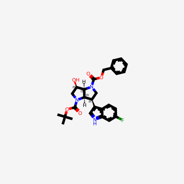 CC(C)(C)OC(=O)N1C[C@@H](O)[C@@H]2[C@H]1[C@H](c1c[nH]c3cc(F)ccc13)CN2C(=O)OCc1ccccc1